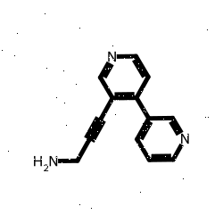 NCC#Cc1cnccc1-c1cccnc1